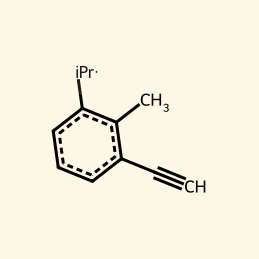 C#Cc1cccc([C](C)C)c1C